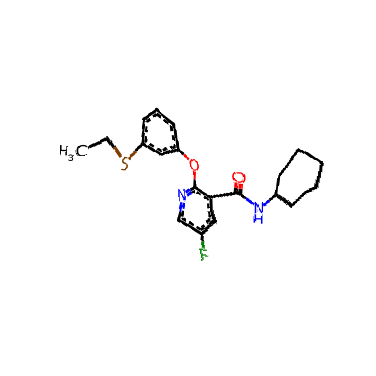 CCSc1cccc(Oc2ncc(F)cc2C(=O)NC2CCCCC2)c1